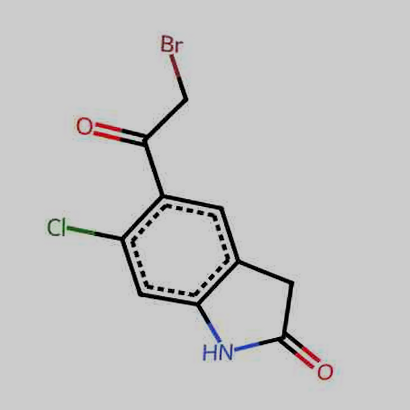 O=C1Cc2cc(C(=O)CBr)c(Cl)cc2N1